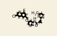 Cc1ccnc([C@H]2C[C@@H]2C(=O)Nc2cc(OCc3cc(F)c4ncc(Cl)cc4c3)cnn2)n1